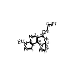 CCn1ncc2c1ncc1c(OCCC(C)C)nc3ncnn3c12